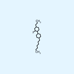 CCCCCCCC1CCC(C2CCC(CCC)CC2F)CC1